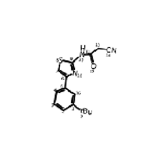 CC(C)(C)c1cccc(-c2csc(NC(=O)CC#N)n2)c1